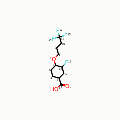 O=C(O)C1CCC(OCCCC(F)(F)F)C(F)C1